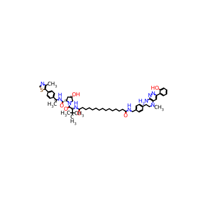 Cc1ncsc1-c1ccc([C@H](C)NC(=O)[C@@H]2C[C@@H](O)CN2C(=O)[C@@H](NC(=O)CCCCCCCCCCCCCC(=O)NCc2ccc(CCN(C)c3cc(-c4ccccc4O)nnc3N)cc2)C(C)(C)C)cc1